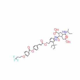 CCC(C)NC(=O)C1CC(C(=O)O)C(C(=O)Nc2ccc(CCOC(=O)/C=C/c3ccc(OC(=O)c4ccc(OCCCC(F)(F)F)cc4)cc3)c(C(C)(CC)CC)c2)C1CC(=O)O